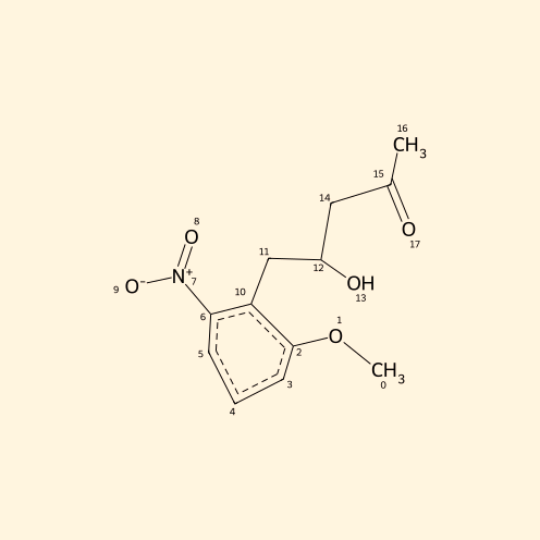 COc1cccc([N+](=O)[O-])c1CC(O)CC(C)=O